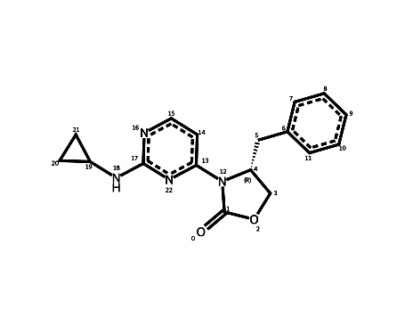 O=C1OC[C@@H](Cc2ccccc2)N1c1ccnc(NC2CC2)n1